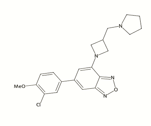 COc1ccc(-c2cc(N3CC(CN4CCCC4)C3)c3nonc3c2)cc1Cl